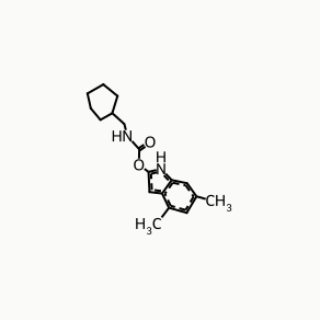 Cc1cc(C)c2cc(OC(=O)NCC3CCCCC3)[nH]c2c1